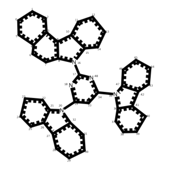 c1ccc2c(c1)ccc1c2c2ccccc2n1-c1nc(-n2c3ccccc3c3ccccc32)cc(-n2c3ccccc3c3ccccc32)n1